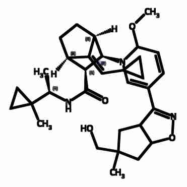 COC1C=CC(C2=NOC3CC(C)(CO)CC23)=CN1[C@H]1[C@@H](C(=O)N[C@H](C)C2(C)CC2)[C@H]2CC[C@@H]1/C2=C\C1CC1